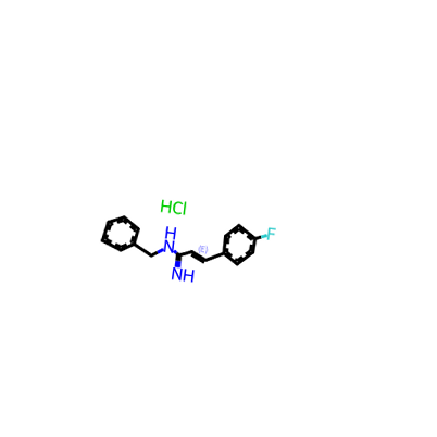 Cl.N=C(/C=C/c1ccc(F)cc1)NCc1ccccc1